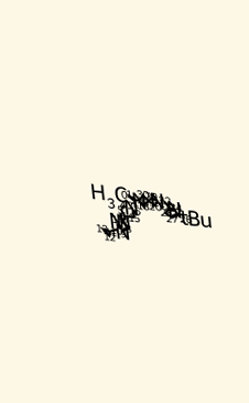 C/C=C(\N1CCC(n2cnc(C3CC3)n2)CC1)N1CC2(CN(CC3=NC(C(C)(C)C)=CC3)C2)C1